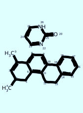 CC1=CC(C)Cc2c1ccc1c2CCc2ccccc2-1.O=c1nccc[nH]1